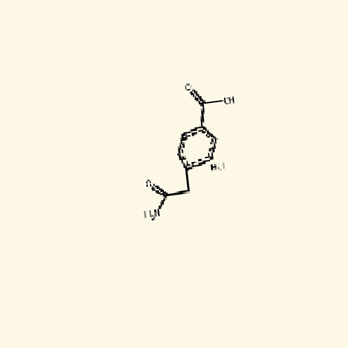 CC(=O)c1ccc(CC(N)=O)cc1.Cl